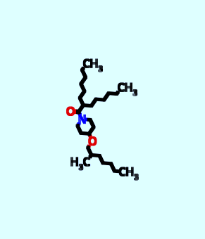 CCCCCCC(CCCCCC)C(=O)N1CCC(OCC(C)CCCCC)CC1